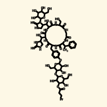 CC(C)CCC(=O)OC1C(O)C(CO)OC(OC2C(CO)OC(Oc3ccc(CC4NC(=O)C(C(C)c5ccccc5)NC(=O)CNC(=O)C(CO)NC(=O)C(C(O)C5CNC(=N)N5C5OC(CO)C(O)C(O)C5O)NC(=O)C(C(O)C5CNC(=N)N5)NC4=O)cc3)C(O)C2O)C1O